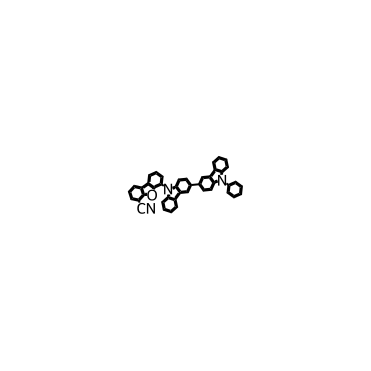 N#Cc1cccc2c1oc1c(-n3c4ccccc4c4cc(-c5ccc6c(c5)c5ccccc5n6-c5ccccc5)ccc43)cccc12